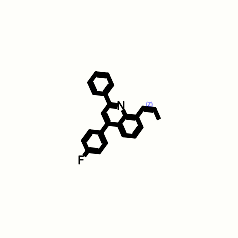 C/C=C\c1cccc2c(-c3ccc(F)cc3)cc(-c3ccccc3)nc12